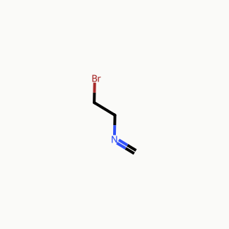 C=NCCBr